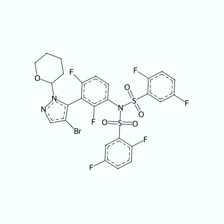 O=S(=O)(c1cc(F)ccc1F)N(c1ccc(F)c(-c2c(Br)cnn2C2CCCCO2)c1F)S(=O)(=O)c1cc(F)ccc1F